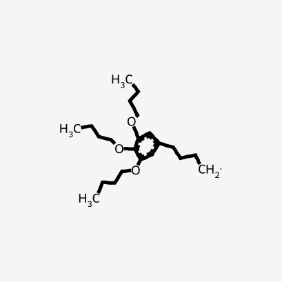 [CH2]CCCc1cc(OCCCC)c(OCCCC)c(OCCCC)c1